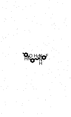 Cc1ccc(C(=O)Nc2cccc(C=CC(=O)Nc3ccc(F)cc3N)c2)cc1